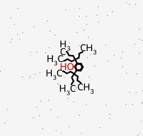 CCCCC(CCCC)(CCCC)c1cccc(C(CCCC)(CCCC)CCCC)c1O